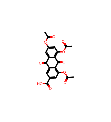 CC(=O)Oc1cc(OC(C)=O)c2c(c1)C(=O)c1cc(C(=O)O)cc(OC(C)=O)c1C2=O